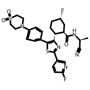 C[C@@H](C#N)NC(=O)[C@@H]1C[C@@H](F)CC[C@H]1c1nc(-c2ccc(F)nc2)sc1-c1ccc(N2CCS(=O)(=O)CC2)cc1